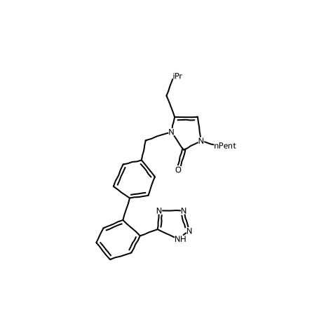 CCCCCn1cc(CC(C)C)n(Cc2ccc(-c3ccccc3-c3nnn[nH]3)cc2)c1=O